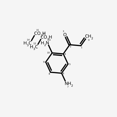 C=CC(=O)c1cc(N)ccc1N.CC(=O)O.CC(=O)O